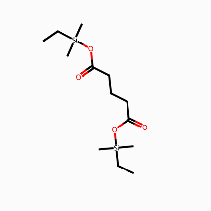 CC[Si](C)(C)OC(=O)CCCC(=O)O[Si](C)(C)CC